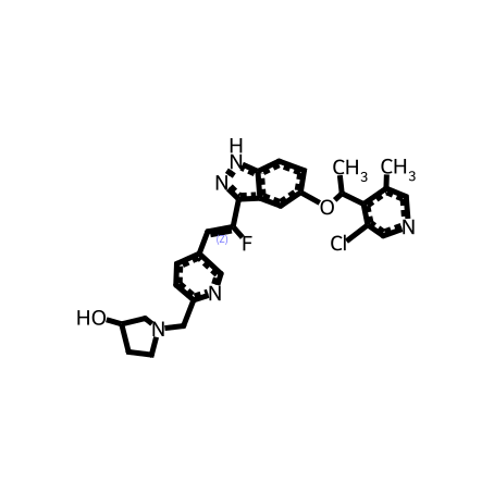 Cc1cncc(Cl)c1C(C)Oc1ccc2[nH]nc(/C(F)=C/c3ccc(CN4CCC(O)C4)nc3)c2c1